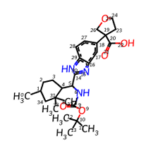 CC1CCC(C(NC(=O)OC(C)(C)C)c2nc3cc(C4(C(=O)O)CCOC4)ccc3[nH]2)C(C)(C)C1